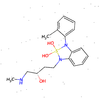 CNC[C@@H](O)CCN1c2ccccc2N(c2ccccc2C)S1(O)O